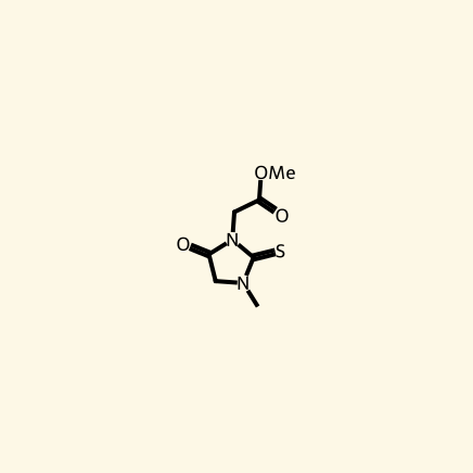 COC(=O)CN1C(=O)CN(C)C1=S